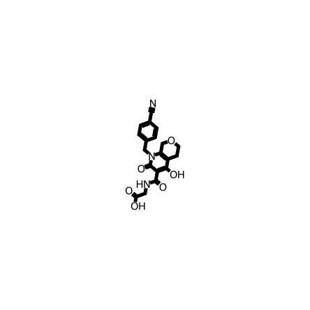 N#Cc1ccc(Cn2c3c(c(O)c(C(=O)NCC(=O)O)c2=O)CCOC3)cc1